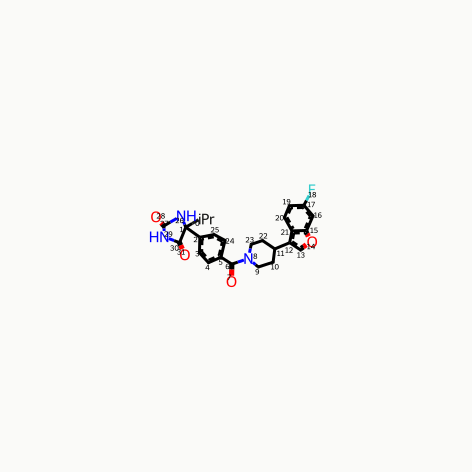 CC(C)C1(c2ccc(C(=O)N3CCC(c4coc5cc(F)ccc45)CC3)cc2)NC(=O)NC1=O